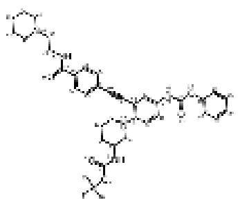 CC(C)(C)OC(=O)NC1CCCN(c2ccc(NC(=O)Oc3ccccc3)cc2C#Cc2ccc(C(=O)NCCN3CCCCC3)cc2)C1